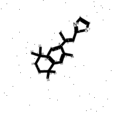 CC(=Cc1nccs1)c1cc2c(cc1C)C(C)(C)CCC2(C)C